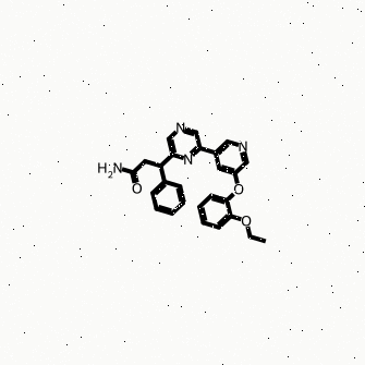 CCOc1ccccc1Oc1cncc(-c2cncc(C(CC(N)=O)c3ccccc3)n2)c1